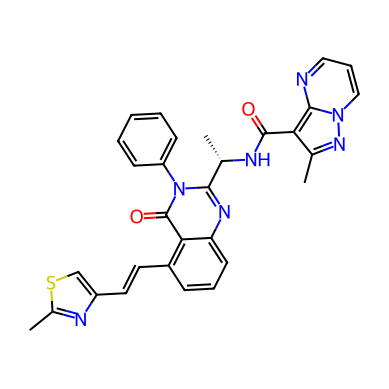 Cc1nc(/C=C/c2cccc3nc([C@H](C)NC(=O)c4c(C)nn5cccnc45)n(-c4ccccc4)c(=O)c23)cs1